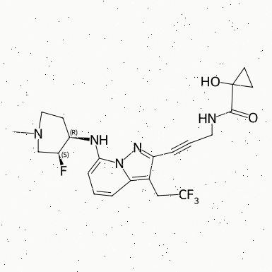 CN1CC[C@@H](Nc2cccc3c(CC(F)(F)F)c(C#CCNC(=O)C4(O)CC4)nn23)[C@@H](F)C1